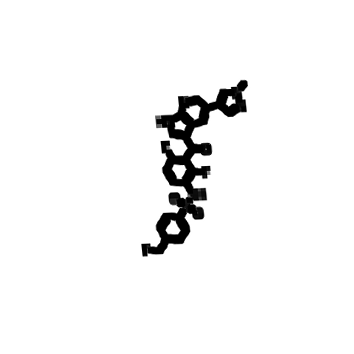 Cn1cc(-c2cnc3[nH]cc(C(=O)c4c(F)ccc(NS(=O)(=O)c5ccc(CF)cc5)c4F)c3c2)cn1